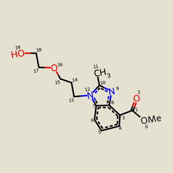 COC(=O)c1cccc2c1nc(C)n2CCCOCCO